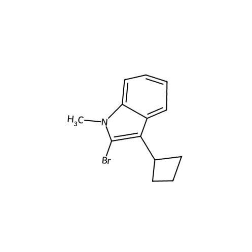 Cn1c(Br)c(C2CCC2)c2ccccc21